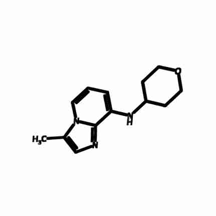 Cc1cnc2c(NC3CCOCC3)cccn12